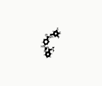 CN(C)c1nc(NC2CCC(C(=O)NCc3cc(F)c(F)c(F)c3)CC2)nc2ccccc12